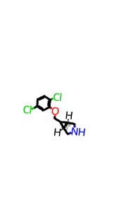 Clc1ccc(Cl)c(OCC2[C@H]3CNC[C@@H]23)c1